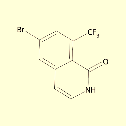 O=c1[nH]ccc2cc(Br)cc(C(F)(F)F)c12